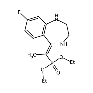 CCOP(=O)(OCC)C(C)=C1NCCNc2cc(F)ccc21